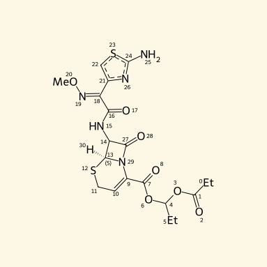 CCC(=O)OC(CC)OC(=O)C1=CCS[C@H]2C(NC(=O)C(=NOC)c3csc(N)n3)C(=O)N12